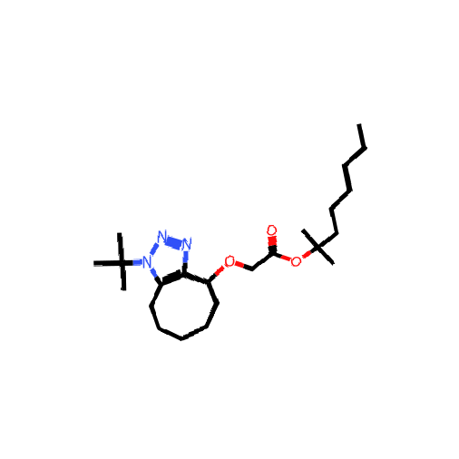 CCCCCCC(C)(C)OC(=O)COC1CCCCCc2c1nnn2C(C)(C)C